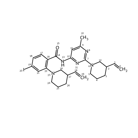 C=CC1CCCN(c2nc(C)cc(NC(=O)c3ccc(I)cc3N3CCCC(C=C)C3)n2)C1